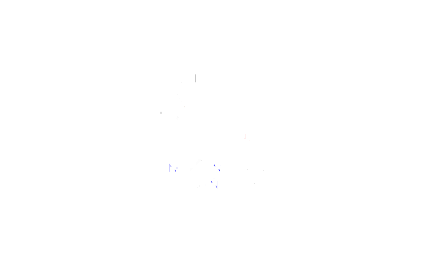 Cc1ccc(-c2cnc3cnn([C@H](C=O)C4CC4)c3c2)s1